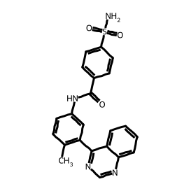 Cc1ccc(NC(=O)c2ccc(S(N)(=O)=O)cc2)cc1-c1ncnc2ccccc12